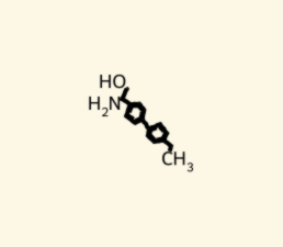 CCc1ccc(-c2ccc([C@@H](N)CO)cc2)cc1